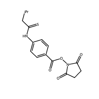 CC(C)CC(=S)Nc1ccc(C(=O)ON2C(=O)CCC2=O)cc1